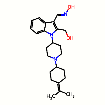 CC(C)=C1CCC(N2CCC(n3c(CO)c(C=NO)c4ccccc43)CC2)CC1